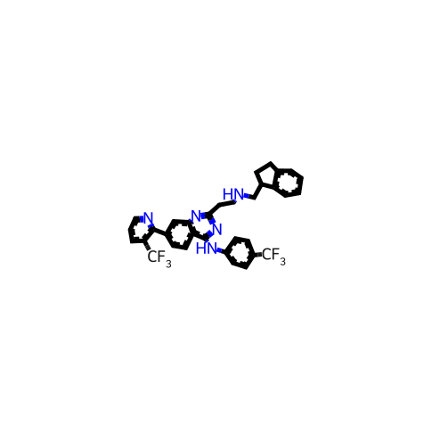 FC(F)(F)c1ccc(Nc2nc(CCNCC3CCc4ccccc43)nc3cc(-c4ncccc4C(F)(F)F)ccc23)cc1